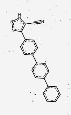 N#Cc1[nH]nnc1-c1ccc(-c2ccc(-c3ccccc3)cc2)cc1